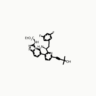 CCOC(=O)Nc1nnc2ccc(-c3ccc(C#CC(C)(C)O)nc3[C@@H](N)Cc3cc(F)cc(F)c3)cn12